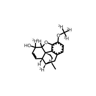 [2H]C([2H])([2H])Oc1ccc2c3c1OC1([2H])C([2H])(O)C=C[C@H]4[C@@]([2H])(C2)N(C)CC[C@@]341